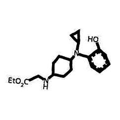 CCOC(=O)CNC1CCC(N(c2ccccc2O)C2CC2)CC1